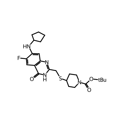 CC(C)(C)OC(=O)N1CCC(SCc2nc3cc(NC4CCCC4)c(F)cc3c(=O)[nH]2)CC1